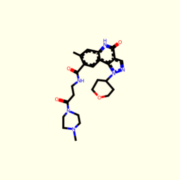 Cc1cc2[nH]c(=O)c3cnn(C4CCOCC4)c3c2cc1C(=O)NCCC(=O)N1CCN(C)CC1